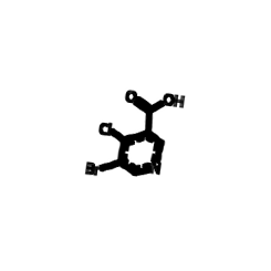 O=C(O)c1cncc(Br)c1Cl